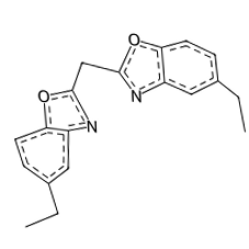 CCc1ccc2oc(Cc3nc4cc(CC)ccc4o3)nc2c1